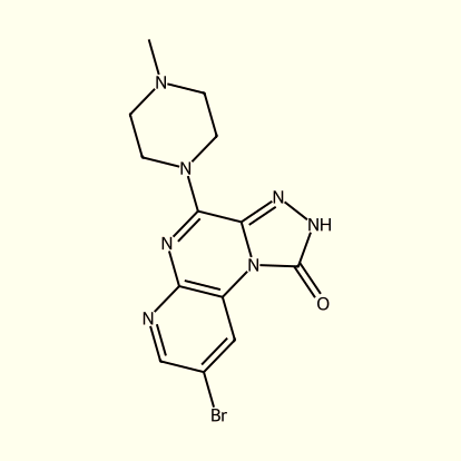 CN1CCN(c2nc3ncc(Br)cc3n3c(=O)[nH]nc23)CC1